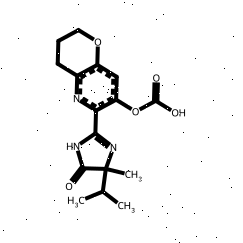 CC(C)C1(C)N=C(c2nc3c(cc2OC(=O)O)OCCC3)NC1=O